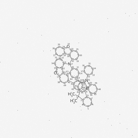 CC1(C)c2ccccc2-c2ccc(-c3ccc(N(c4cccc5oc6ccccc6c45)c4cccc5oc6ccc(-c7ccc8c9ccccc9n(-c9ccccc9)c8c7)cc6c45)cc3)cc21